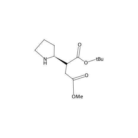 COC(=O)CC(C(=O)OC(C)(C)C)[C@@H]1CCCN1